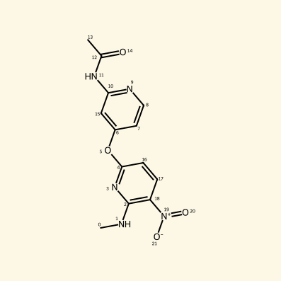 CNc1nc(Oc2ccnc(NC(C)=O)c2)ccc1[N+](=O)[O-]